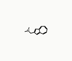 CN(C)Cc1cc2cccccc-2c1